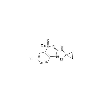 CCC1(NC2=NS(=O)(=O)c3cc(F)ccc3N2)CC1